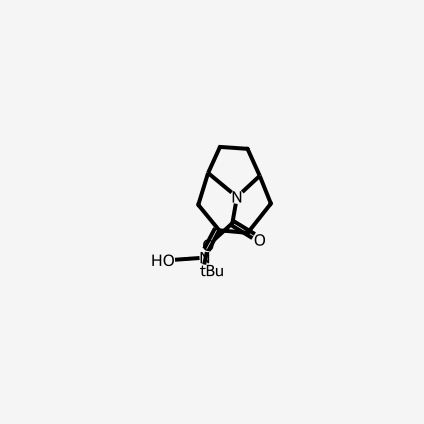 CC(C)(C)OC(=O)N1C2CCC(=NO)CC1CC2